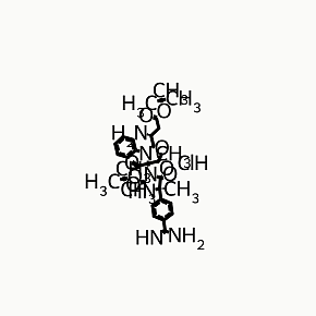 CC(=O)[C@@](C(=O)OC(C)(C)C)(N1C(=O)N[C@](C)(c2ccc(C(=N)N)cc2)C1=O)N(C(=O)[C@@H](N)CC(=O)OC(C)(C)C)c1ccccc1.Cl